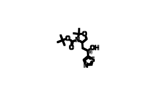 CC(C)(C)OC(=O)N1C(C[C@@H](O)c2cncs2)COC1(C)C